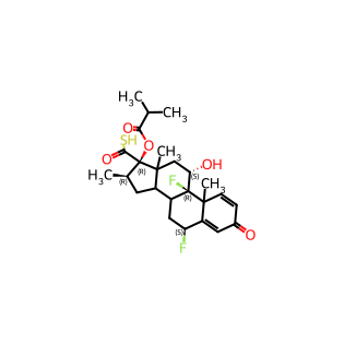 CC(C)C(=O)O[C@]1(C(=O)S)[C@H](C)CC2C3C[C@H](F)C4=CC(=O)C=CC4(C)[C@@]3(F)[C@@H](O)CC21C